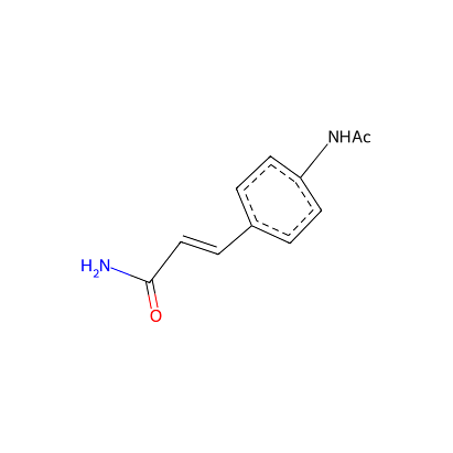 CC(=O)Nc1ccc(C=CC(N)=O)cc1